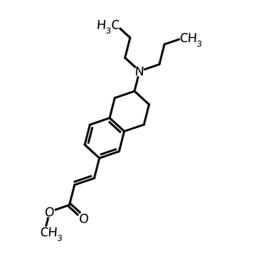 CCCN(CCC)C1CCc2cc(C=CC(=O)OC)ccc2C1